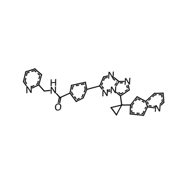 O=C(NCc1ccccn1)c1ccc(-c2cnc3ncc(C4(c5ccc6ncccc6c5)CC4)n3n2)cc1